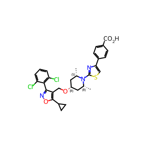 C[C@@H]1C[C@H](OCc2c(-c3c(Cl)cccc3Cl)noc2C2CC2)C[C@H](C)N1c1nc(-c2ccc(C(=O)O)cc2)cs1